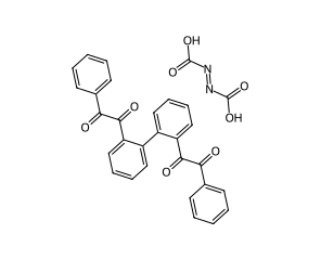 O=C(C(=O)c1ccccc1-c1ccccc1C(=O)C(=O)c1ccccc1)c1ccccc1.O=C(O)N=NC(=O)O